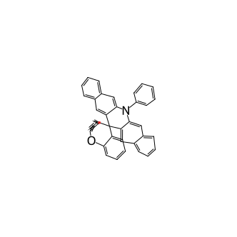 c1ccc(N2c3cc4ccccc4cc3C3(c4ccccc4Oc4ccccc43)c3cc4ccccc4cc32)cc1